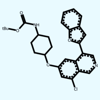 CC(C)(C)OC(=O)NC1CCC(Oc2cc(Cl)c3cncc(-c4cc5ccccc5o4)c3c2)CC1